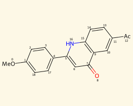 COc1ccc(-c2cc(=O)c3cc(C(C)=O)ccc3[nH]2)cc1